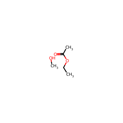 CCOC(C)=O.CO